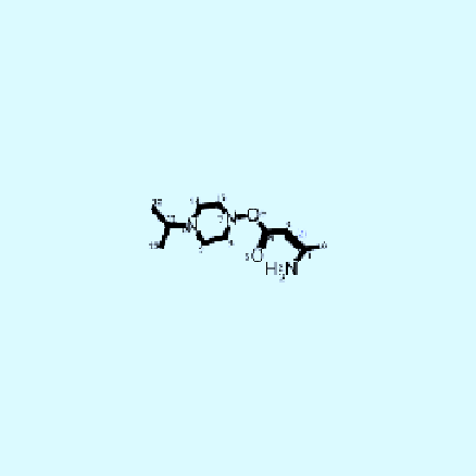 C/C(N)=C/C(=O)ON1CCN(C(C)C)CC1